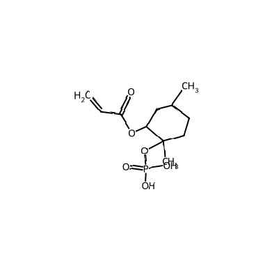 C=CC(=O)OC1CC(C)CCC1(C)OP(=O)(O)O